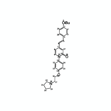 CC(C)COc1ccc(C=Cc2ccn(-c3ccc(OCCN4CCCC4)cc3)c(=O)c2)cc1